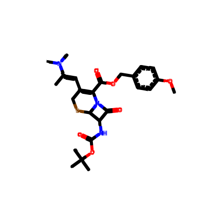 COc1ccc(COC(=O)C2=C(C=C(C)N(C)C)CSC3C(NC(=O)OC(C)(C)C)C(=O)N23)cc1